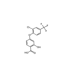 O=C(O)c1ccc(Oc2ccc(C(F)(F)F)cc2Cl)cc1O